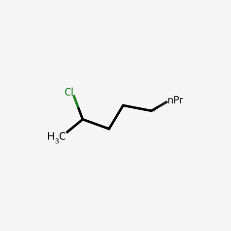 CCC[CH]CCC(C)Cl